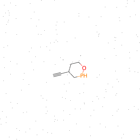 C#CC1CCOPC1